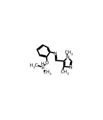 Cc1ncn(C)c1C=Nc1ccccc1O[SiH](C)C